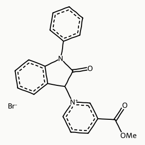 COC(=O)c1ccc[n+](C2C(=O)N(c3ccccc3)c3ccccc32)c1.[Br-]